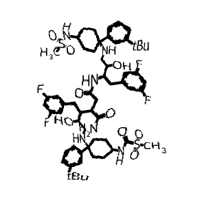 CC(C)(C)c1cccc(C2(NCC(O)C(Cc3cc(F)cc(F)c3)NC(=O)CC(C(N)=O)C(Cc3cc(F)cc(F)c3)C(O)CNC3(c4cccc(C(C)(C)C)c4)CCC(NC(=O)S(C)(=O)=O)CC3)CCC(NS(C)(=O)=O)CC2)c1